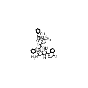 Cc1ccccc1CNC(=O)[C@H]1N(C(=O)[C@@H](O)[C@H](Cc2ccccc2)NC(=O)[C@H](CC(N)=O)NC(=O)C2OCC(=O)c3ccccc32)CSC1(C)C